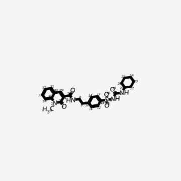 Cn1c(=O)c(C(=O)NCCc2ccc(S(=O)(=O)NC(=O)NC3CCCCC3)cc2)cc2ccccc21